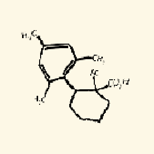 CC(=O)C1(C(=O)O)CCCCC1c1c(C)cc(C)cc1C